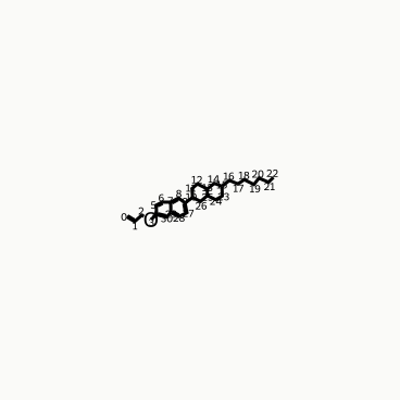 C=CCOc1ccc2cc(C3CCC4CC(CCCCCCC)CCC4C3)ccc2c1